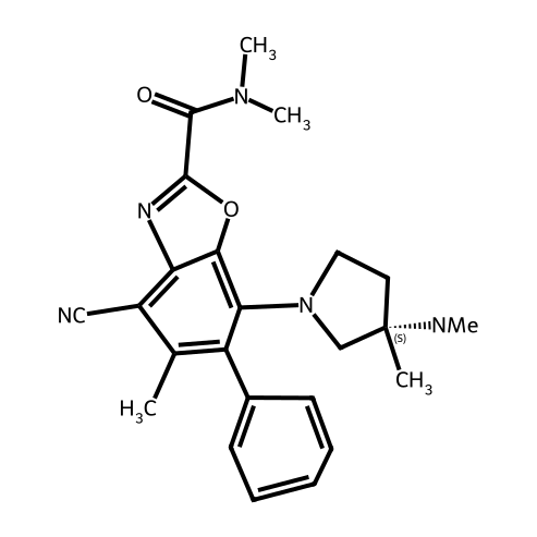 CN[C@@]1(C)CCN(c2c(-c3ccccc3)c(C)c(C#N)c3nc(C(=O)N(C)C)oc23)C1